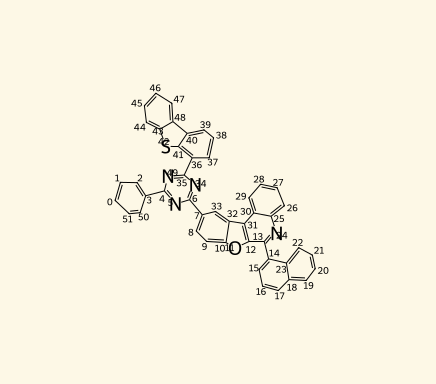 c1ccc(-c2nc(-c3ccc4oc5c(-c6cccc7ccccc67)nc6ccccc6c5c4c3)nc(-c3cccc4c3sc3ccccc34)n2)cc1